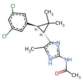 CC(=O)Nc1nc([C@@H]2[C@@H](c3cc(Cl)cc(Cl)c3)C2(C)C)c(C)[nH]1